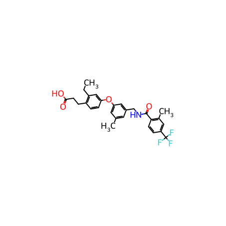 CCc1cc(Oc2cc(C)cc(CNC(=O)c3ccc(C(F)(F)F)cc3C)c2)ccc1CCC(=O)O